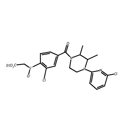 CCOC(=O)C[S+]([O-])c1ccc(C(=O)N2CCN(c3cccc(Cl)n3)C(C)C2C)cc1Cl